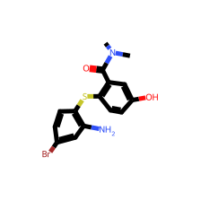 CN(C)C(=O)c1cc(O)ccc1Sc1ccc(Br)cc1N